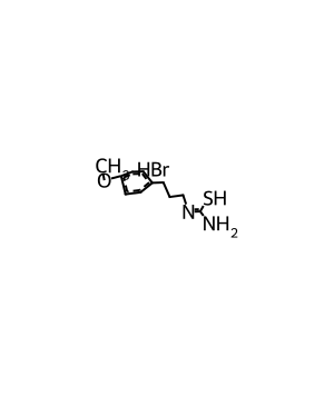 Br.COc1ccc(CCCN=C(N)S)cc1